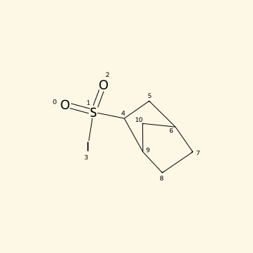 O=S(=O)(I)C1CC2CCC1C2